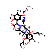 C=CCOC(=O)N1[C@@H]2c3c(cc(C)c(OC)c3OCC=C)C[C@H]1[C@H](C#N)N1C(c3cc(OCOC)c(C)c4c3OCO4)C(=O)OC[C@@H]21